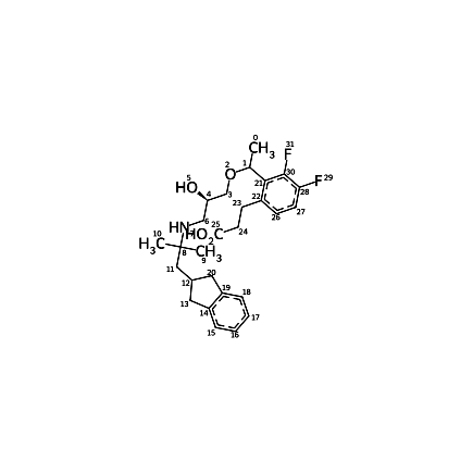 CC(OC[C@H](O)CNC(C)(C)CC1Cc2ccccc2C1)c1c(CCC(=O)O)ccc(F)c1F